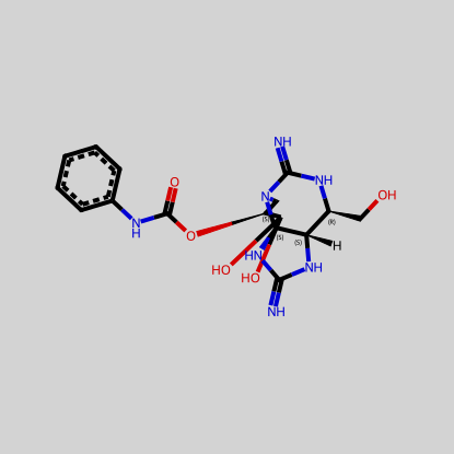 N=C1N[C@H]2[C@H](CO)NC(=N)N3C[C@H](OC(=O)Nc4ccccc4)C(O)(O)[C@]23N1